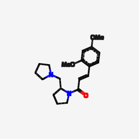 COc1ccc(C=CC(=O)N2CCCC2CN2CCCC2)c(OC)c1